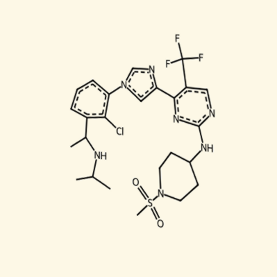 CC(C)NC(C)c1cccc(-n2cnc(-c3nc(NC4CCN(S(C)(=O)=O)CC4)ncc3C(F)(F)F)c2)c1Cl